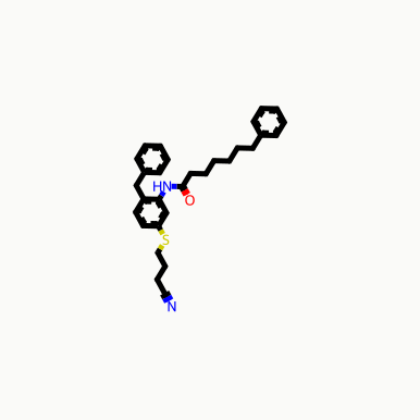 N#CCCCSc1ccc(Cc2ccccc2)c(NC(=O)CCCCCCc2ccccc2)c1